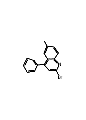 Cc1ccc2nc(Br)cc(-c3ccccc3)c2c1